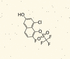 O=S(=O)(Oc1c(F)ccc2cc(O)cc(Cl)c12)C(F)(F)F